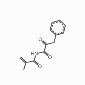 C=C(C)C(=O)NC(=O)C(=O)Cc1ccccc1